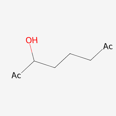 CC(=O)CCCC(O)C(C)=O